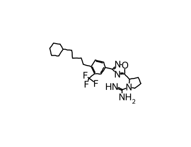 N=C(N)N1CCCC1c1nc(-c2ccc(CCCCC3CCCCC3)c(C(F)(F)F)c2)no1